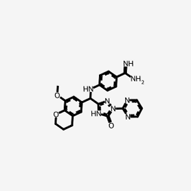 COc1cc(C(Nc2ccc(C(=N)N)cc2)c2nn(-c3ncccn3)c(=O)[nH]2)cc2c1OCCC2